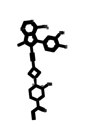 C=CC(=O)N1CC[C@@H](N2CC(C#Cc3c(-c4ccc(Cl)c(O)c4)c4c(N)ncnc4n3C)C2)[C@@H](O)C1